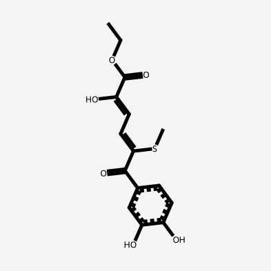 CCOC(=O)/C(O)=C/C=C(\SC)C(=O)c1ccc(O)c(O)c1